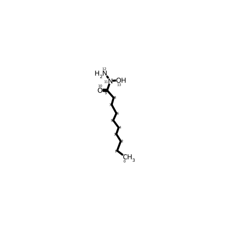 CCCCCCCCCC(=O)N(N)O